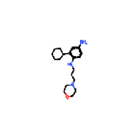 Nc1ccc(NCCCN2CCOCC2)c(C2CCCCC2)c1